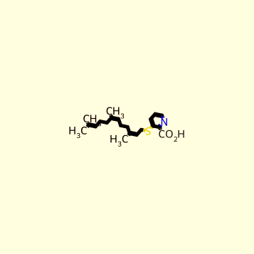 CC(C)=CCCC(C)=CCCC(C)=CCSc1cccnc1C(=O)O